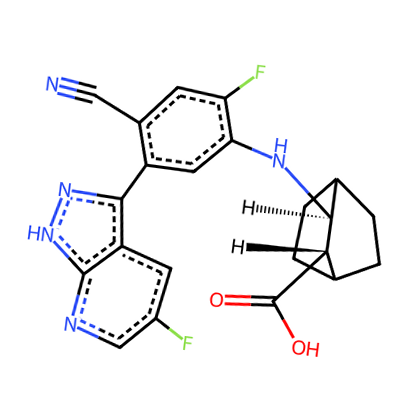 N#Cc1cc(F)c(N[C@H]2C3CCC(CC3)[C@@H]2C(=O)O)cc1-c1n[nH]c2ncc(F)cc12